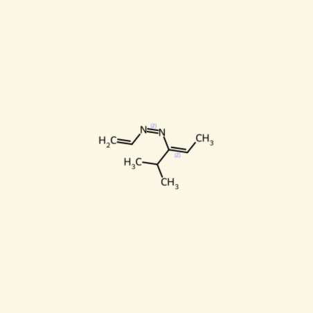 C=C/N=N\C(=C/C)C(C)C